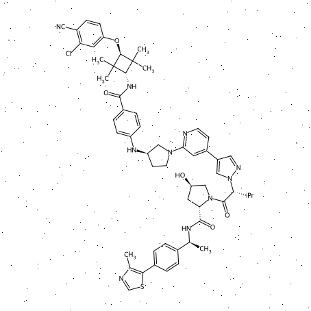 Cc1ncsc1-c1ccc([C@H](C)NC(=O)[C@@H]2C[C@@H](O)CN2C(=O)[C@@H](C(C)C)n2cc(-c3ccnc(N4CC[C@@H](Nc5ccc(C(=O)N[C@H]6C(C)(C)[C@H](Oc7ccc(C#N)c(Cl)c7)C6(C)C)cc5)C4)c3)cn2)cc1